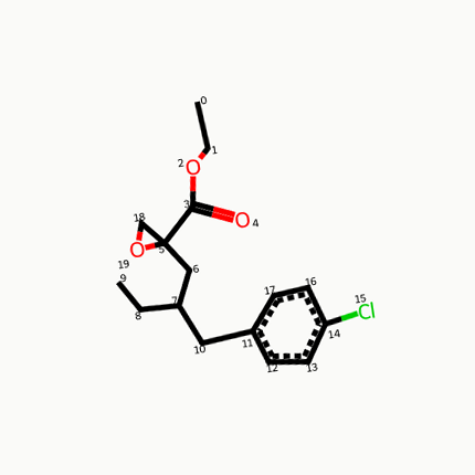 CCOC(=O)C1(CC(CC)Cc2ccc(Cl)cc2)CO1